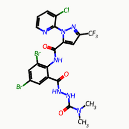 CN(C)C(=O)NNC(=O)c1cc(Br)cc(Br)c1NC(=O)c1cc(C(F)(F)F)nn1-c1ncccc1Cl